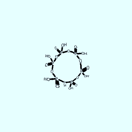 O=P1(O)OP(=O)(O)OP(=O)(O)OP(=O)(O)PP(=O)(O)OP(=O)(O)O1